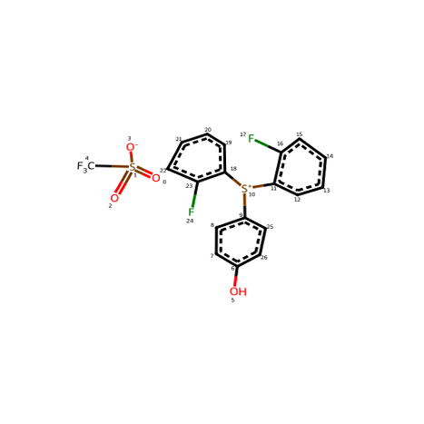 O=S(=O)([O-])C(F)(F)F.Oc1ccc([S+](c2ccccc2F)c2ccccc2F)cc1